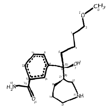 COCCCC[C@@](O)(c1cccc(C(N)=O)c1)[C@@H]1CCCNC1